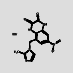 Br.Cc1nccn1Cc1cc([N+](=O)[O-])cc2[nH]c(=O)c(=O)[nH]c12